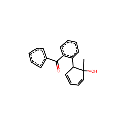 CC1(O)C=CC=CC1c1ccccc1C(=O)c1ccccc1